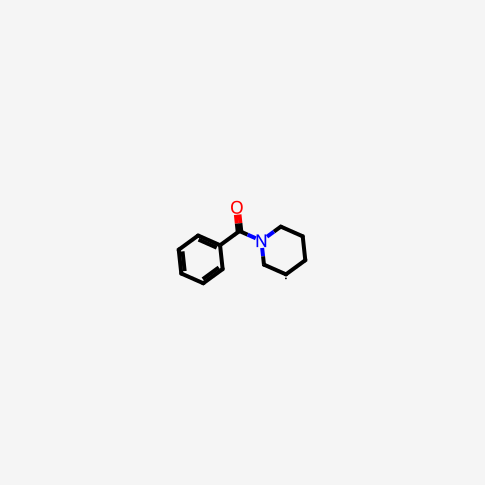 O=C(c1ccccc1)N1C[CH]CCC1